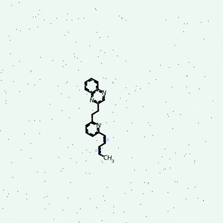 C/C=C\C=C/c1cccc(CCc2cnc3ccccc3n2)n1